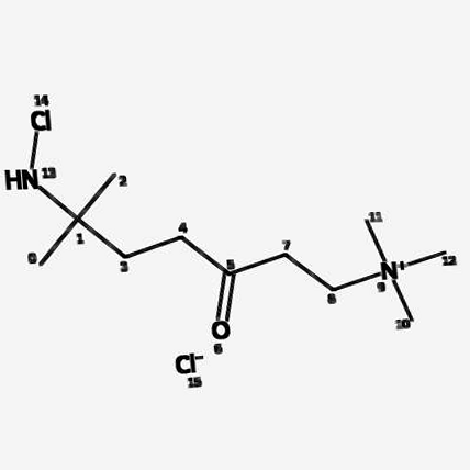 CC(C)(CCC(=O)CC[N+](C)(C)C)NCl.[Cl-]